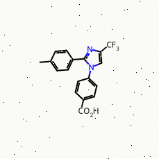 Cc1ccc(-c2nc(C(F)(F)F)cn2-c2ccc(C(=O)O)cc2)cc1